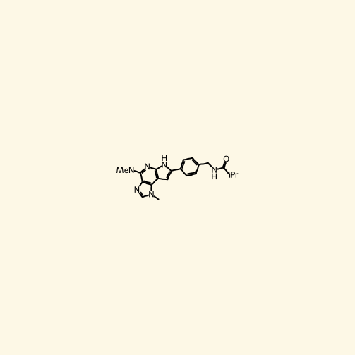 CNc1nc2[nH]c(-c3ccc(CNC(=O)C(C)C)cc3)cc2c2c1ncn2C